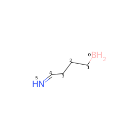 BCCCC=N